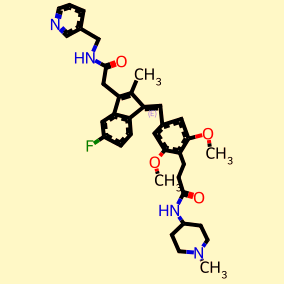 COc1cc(/C=C2/C(C)=C(CC(=O)NCc3cccnc3)c3cc(F)ccc32)cc(OC)c1CCC(=O)NC1CCN(C)CC1